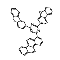 c1ccc2c(c1)ccc1c3cccc(-c4nc(-c5ccc6c(c5)oc5ccccc56)nc(-c5ccc6sc7ccccc7c6c5)n4)c3ccc21